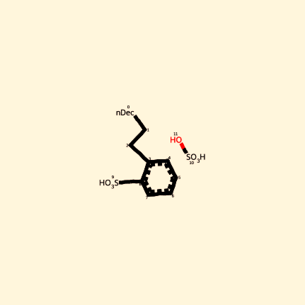 CCCCCCCCCCCCc1ccccc1S(=O)(=O)O.O=S(=O)(O)O